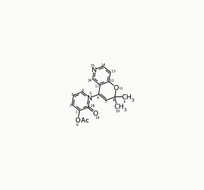 CC(=O)Oc1cccn(C2=CC(C)(C)Oc3ccncc32)c1=O